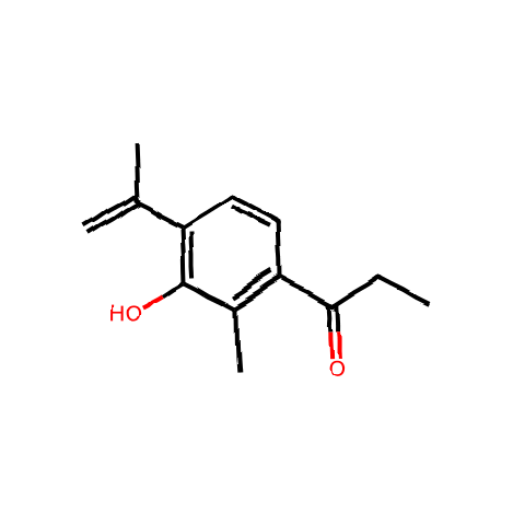 C=C(C)c1ccc(C(=O)CC)c(C)c1O